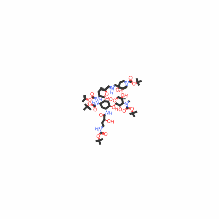 C=C(C)OC(=O)N[C@@H]1CC=C(CNCC2(O)CCN(C(=O)OC(C)(C)C)CC2)O[C@@H]1C1[C@@H](NC(=O)OC(C)(C)C)C[C@@H](NC(=O)[C@@H](O)CCNC(=O)OC(C)(C)C)[C@H](O[C@H]2OC[C@](C)(O)[C@H](N(C)C(=O)OC(C)(C)C)[C@H]2O)[C@H]1O